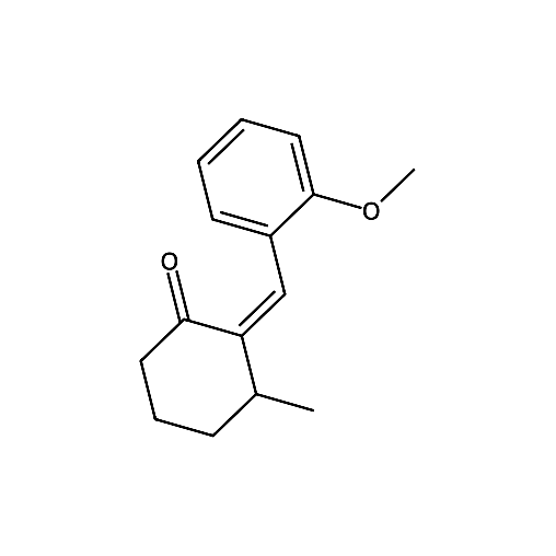 COc1ccccc1/C=C1\C(=O)CCCC1C